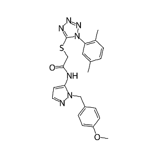 COc1ccc(Cn2nccc2NC(=O)CSc2nnnn2-c2cc(C)ccc2C)cc1